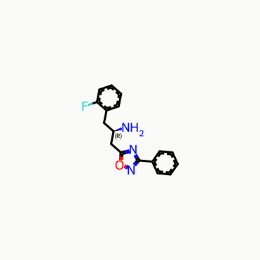 N[C@@H](Cc1nc(-c2ccccc2)no1)Cc1ccccc1F